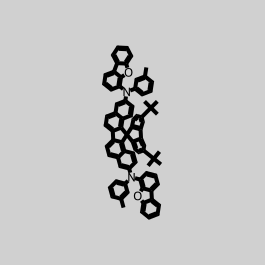 Cc1cccc(N(c2ccc3c4c(ccc3c2)-c2ccc3cc(N(c5cccc(C)c5)c5cccc6c5oc5ccccc56)ccc3c2C42c3ccc(C(C)(C)C)cc3-c3cc(C(C)(C)C)ccc32)c2cccc3c2oc2ccccc23)c1